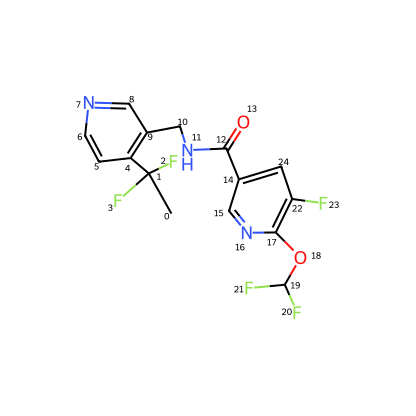 CC(F)(F)c1ccncc1CNC(=O)c1cnc(OC(F)F)c(F)c1